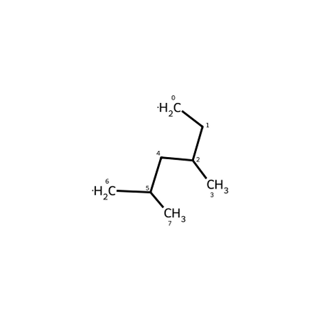 [CH2]CC(C)CC([CH2])C